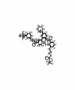 CC(C)(C)OC(=O)CCSCc1cccc(C(=O)Nc2ccc(N3CCCCC3)cc2-c2cc(C(=O)NCc3cccc(C(F)(F)F)c3)ccn2)c1